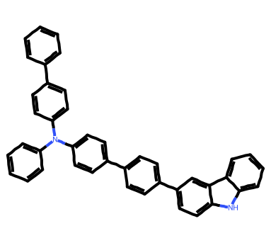 c1ccc(-c2ccc(N(c3ccccc3)c3ccc(-c4ccc(-c5ccc6[nH]c7ccccc7c6c5)cc4)cc3)cc2)cc1